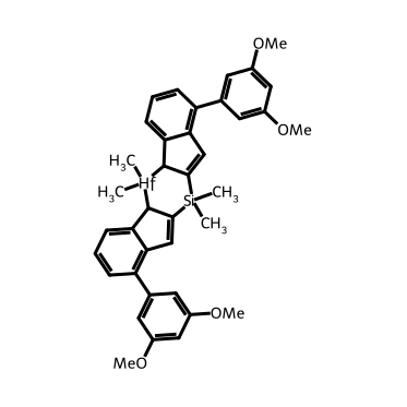 COc1cc(OC)cc(-c2cccc3c2C=C2[CH]3[Hf]([CH3])([CH3])[CH]3C(=Cc4c(-c5cc(OC)cc(OC)c5)cccc43)[Si]2(C)C)c1